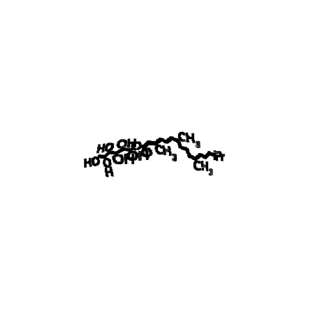 C/C(=C\C(=O)OC(O)[C@H](O)[C@@H](O)[C@H](O)[C@H](O)CO)CCC[C@H](C)CCC[C@H](C)CCCC(C)C